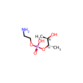 C[C@H](OP(=O)(O)OCCN)[C@@H](C)O